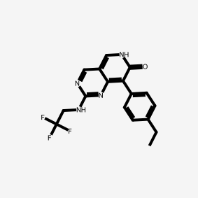 CCc1ccc(-c2c(=O)[nH]cc3cnc(NCC(F)(F)F)nc23)cc1